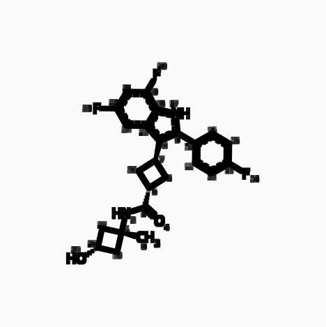 C[C@]1(NC(=O)[C@H]2C[C@H](c3c(-c4ccc(F)cc4)[nH]c4c(F)cc(F)cc43)C2)C[C@@H](O)C1